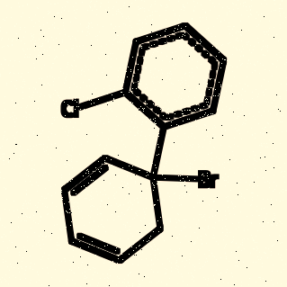 Clc1ccccc1C1(Br)C=CC=CC1